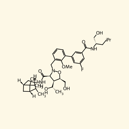 COc1c(CN2O[C@@H](CO)[C@@H]([C@H](C)O)[C@H]2C(=O)N[C@H]2C[C@H]3C[C@@H]([C@@H]2C)C3(C)C)cccc1-c1cc(F)cc(C(=O)N[C@H](CO)CC(C)C)c1